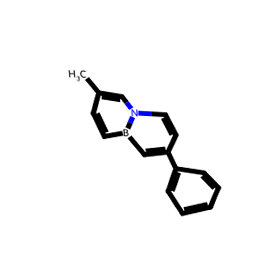 CC1=CN2C=CC(c3ccccc3)=CB2C=C1